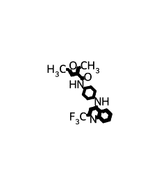 Cc1cc(C(=O)NC2CCC(Nc3cc(C(F)(F)F)nc4ccccc34)CC2)c(C)o1